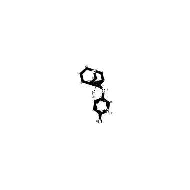 Clc1ccc(O[C@@H]2C3CN4CCCC2(C3)C4)cn1